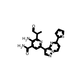 CC(C=O)c1nc(-c2cnn3ccc(-c4cccs4)nc23)cc(C(N)=O)c1N